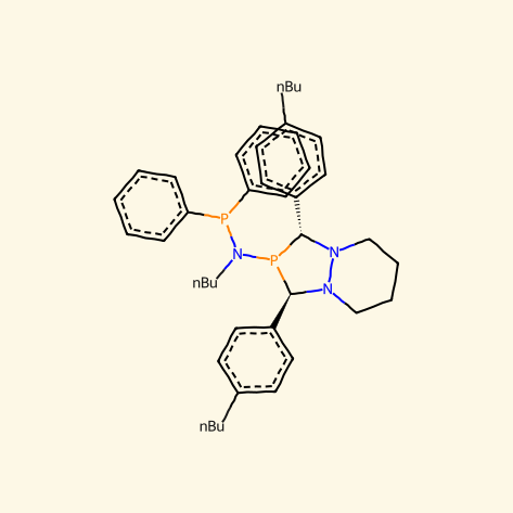 CCCCc1ccc([C@@H]2N3CCCCN3[C@@H](c3ccc(CCCC)cc3)P2N(CCCC)P(c2ccccc2)c2ccccc2)cc1